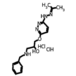 CC(C)=NNc1ccc(OCC(O)CNCc2ccccc2)nn1.Cl.Cl